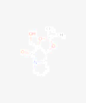 CC1(C)OC2C3CCCN3C(=O)C2(CO)O1